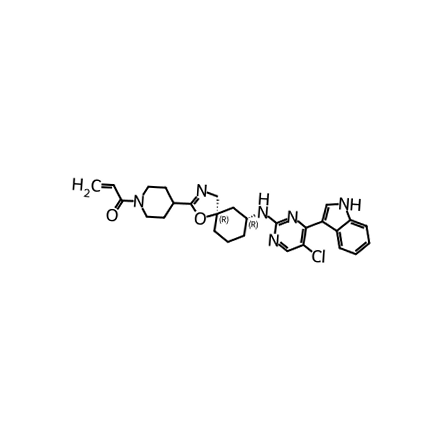 C=CC(=O)N1CCC(C2=NC[C@]3(CCC[C@@H](Nc4ncc(Cl)c(-c5c[nH]c6ccccc56)n4)C3)O2)CC1